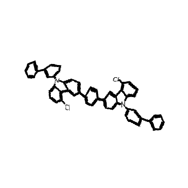 Clc1cccc2c1c1cc(-c3ccc(-c4ccc5c(c4)c4c(Cl)cccc4n5-c4cccc(-c5ccccc5)c4)cc3)ccc1n2-c1cccc(-c2ccccc2)c1